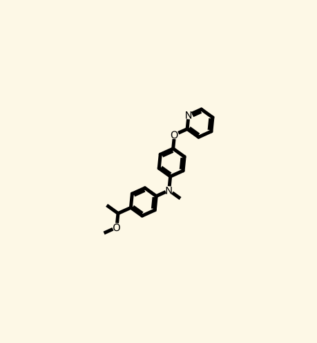 COC(C)c1ccc(N(C)c2ccc(Oc3ccccn3)cc2)cc1